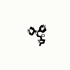 Cc1ccc(C(=O)CN(c2ccncc2)c2ccncc2)s1